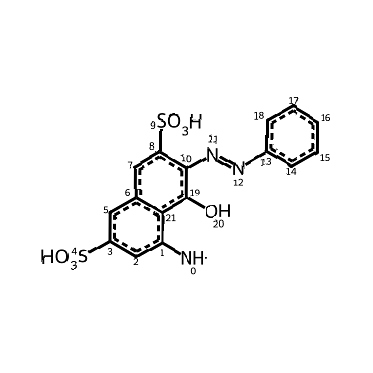 [NH]c1cc(S(=O)(=O)O)cc2cc(S(=O)(=O)O)c(N=Nc3ccccc3)c(O)c12